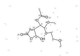 COCCOC(OC)C(OC(C)=O)C1=CC(=O)OC1O